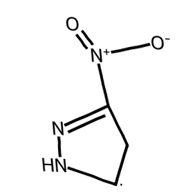 O=[N+]([O-])C1=NN[CH]C1